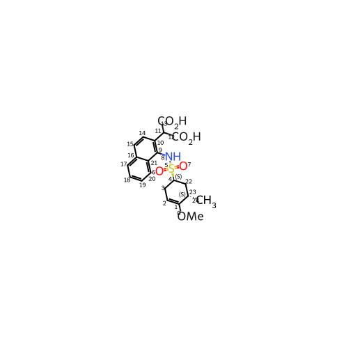 COC1=CC[C@@H](S(=O)(=O)Nc2c(C(C(=O)O)C(=O)O)ccc3ccccc23)C[C@@H]1C